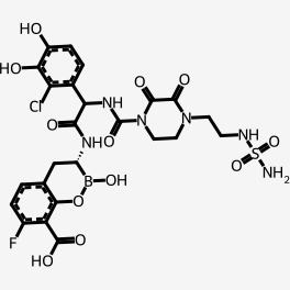 NS(=O)(=O)NCCN1CCN(C(=O)NC(C(=O)N[C@H]2Cc3ccc(F)c(C(=O)O)c3OB2O)c2ccc(O)c(O)c2Cl)C(=O)C1=O